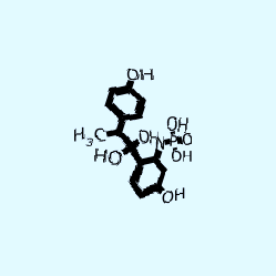 CC(c1ccc(O)cc1)C(O)(O)C1=CC=C(O)CC1=NP(=O)(O)O